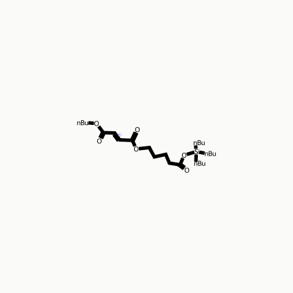 CCCCOC(=O)/C=C/C(=O)OCCCCC(=O)O[Si](CCCC)(CCCC)CCCC